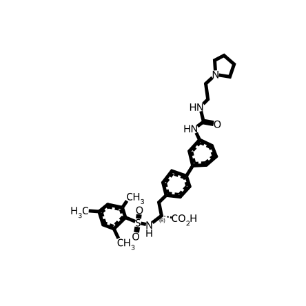 Cc1cc(C)c(S(=O)(=O)N[C@H](Cc2ccc(-c3cccc(NC(=O)NCCN4CCCC4)c3)cc2)C(=O)O)c(C)c1